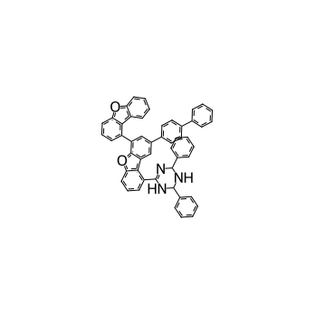 c1ccc(-c2ccc(-c3cc(-c4cccc5oc6ccccc6c45)c4oc5cccc(C6=NC(c7ccccc7)NC(c7ccccc7)N6)c5c4c3)cc2)cc1